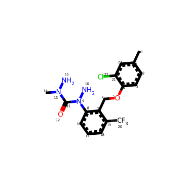 Cc1ccc(OCc2c(N(N)C(=O)N(C)N)cccc2C(F)(F)F)c(Cl)c1